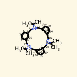 CC(C)N1Cc2cccc(c2)CN(C(C)C)Cc2cccc(c2)CN(C(C)C)Cc2cccc(c2)C1